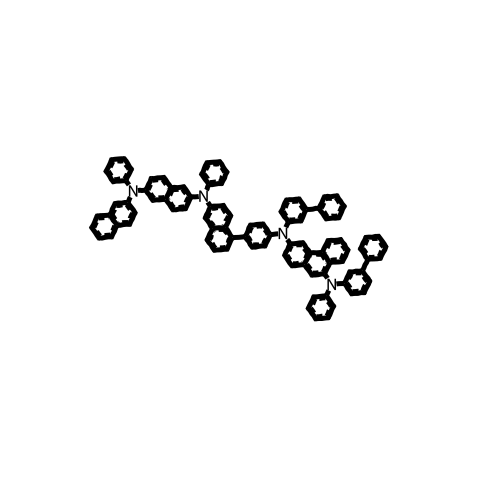 c1ccc(-c2cccc(N(c3ccc(-c4cccc5cc(N(c6ccccc6)c6ccc7cc(N(c8ccccc8)c8ccc9ccccc9c8)ccc7c6)ccc45)cc3)c3ccc4cc(N(c5ccccc5)c5cccc(-c6ccccc6)c5)c5ccccc5c4c3)c2)cc1